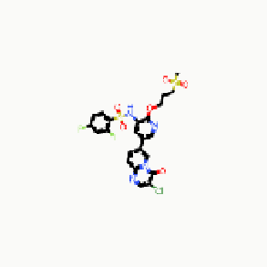 CS(=O)(=O)CCCOc1ncc(-c2ccc3ncc(Cl)c(=O)n3c2)cc1NS(=O)(=O)c1ccc(F)cc1F